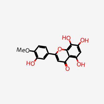 COc1ccc(-c2cc(=O)c3c(O)cc(O)c(O)c3o2)cc1O